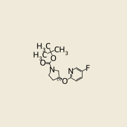 CC(C)(C)OC(=O)N1CC[C@H](Oc2ccc(F)cn2)C1